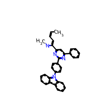 C=N/C(=C\C=C/C)c1cc(-c2ccccc2)nc(-c2ccc(-n3c4ccccc4c4ccccc43)cc2)n1